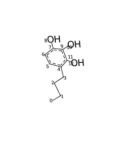 CCCCc1ccc(O)c(O)c1O